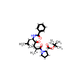 C=C(C)C[C@@H](NC(=O)c1ccccc1)C(=O)C[C@H](C)C(=O)N1CCC[C@H]1C(=O)OC(C)(C)C